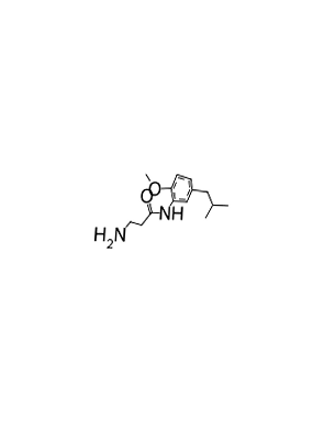 COc1ccc(CC(C)C)cc1NC(=O)CCN